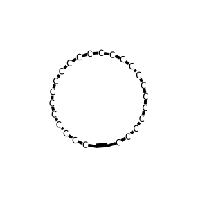 C1=C\CCCCCCCCCCCCCCCCCCCCCCCC/1